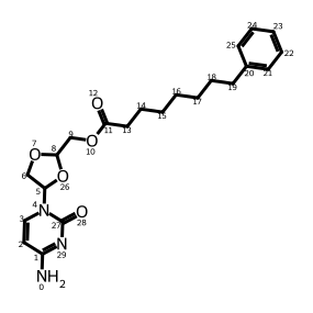 Nc1ccn(C2COC(COC(=O)CCCCCCCc3ccccc3)O2)c(=O)n1